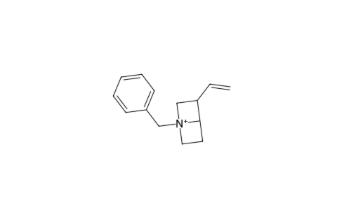 C=CC1C[N+]2(Cc3ccccc3)CCC12